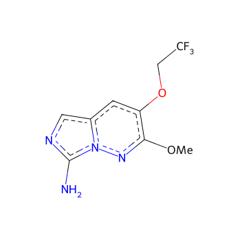 COc1nn2c(N)ncc2cc1OCC(F)(F)F